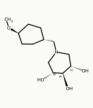 CO[C@H]1CC[C@H](CN2C[C@@H](O)[C@H](O)[C@@H](O)C2)CC1